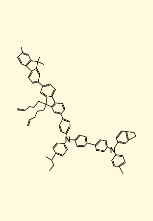 C=CCCCC1(CCCC=C)c2cc(-c3ccc(N(c4ccc(-c5ccc(N(c6ccc(C)cc6)c6ccc7c(c6)CC7)cc5)cc4)c4ccc(C(C)CC)cc4)cc3)ccc2-c2ccc(-c3ccc4c(c3)C(C)(C)c3cc(C)ccc3-4)cc21